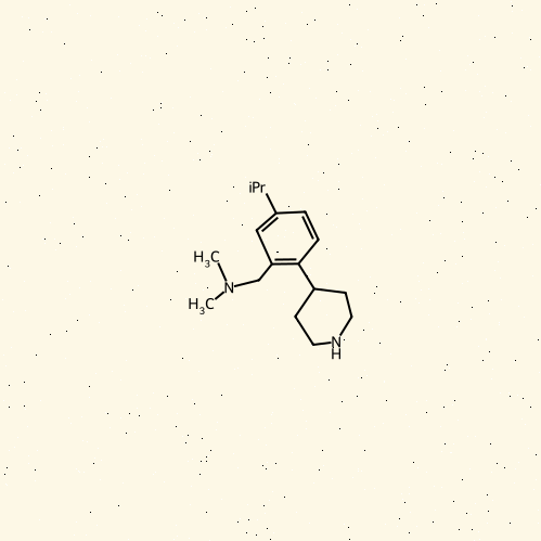 CC(C)c1ccc(C2CCNCC2)c(CN(C)C)c1